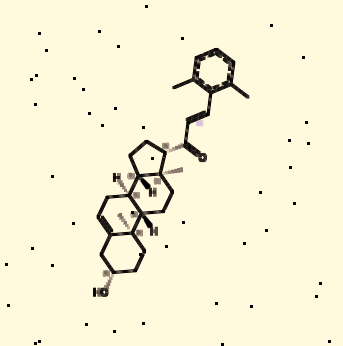 Cc1cccc(C)c1/C=C/C(=O)[C@H]1CC[C@H]2[C@@H]3CC=C4C[C@@H](O)CC[C@]4(C)[C@H]3CC[C@]12C